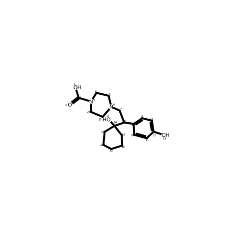 O=C(O)N1CCN(CC(c2ccc(O)cc2)C2(O)CCCCC2)CC1